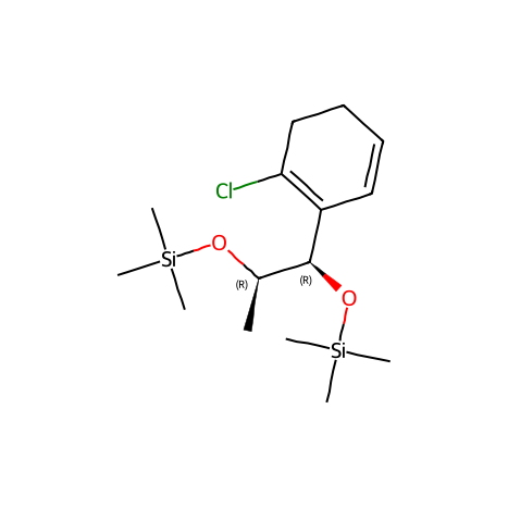 C[C@@H](O[Si](C)(C)C)[C@H](O[Si](C)(C)C)C1=C(Cl)CCC=C1